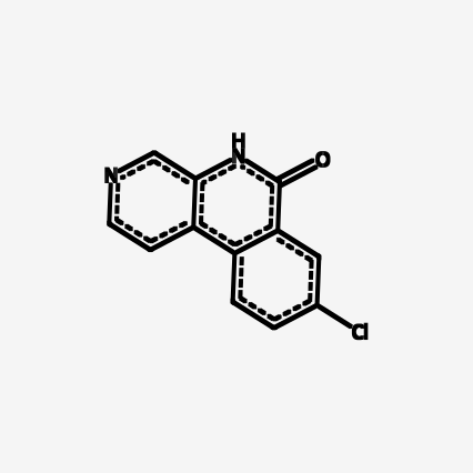 O=c1[nH]c2cnccc2c2ccc(Cl)cc12